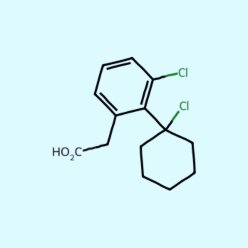 O=C(O)Cc1cccc(Cl)c1C1(Cl)CCCCC1